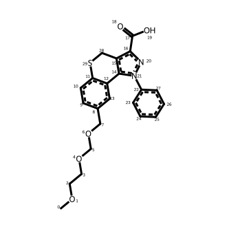 COCCOCOCc1ccc2c(c1)-c1c(c(C(=O)O)nn1-c1ccccc1)CS2